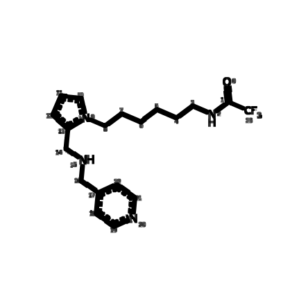 O=C(NCCCCCCn1cccc1CNCc1ccncc1)C(F)(F)F